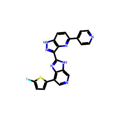 Fc1ccc(-c2cncc3[nH]c(-c4n[nH]c5ccc(-c6ccncc6)nc45)nc23)s1